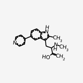 C=C(O)C(Cc1c(C)[nH]c2ccc(-c3ccncc3)cc12)NC